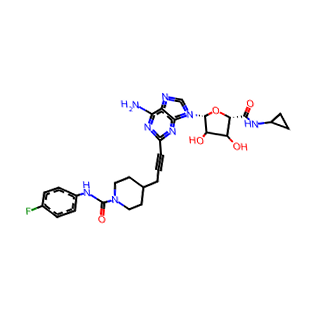 Nc1nc(C#CCC2CCN(C(=O)Nc3ccc(F)cc3)CC2)nc2c1ncn2[C@@H]1O[C@H](C(=O)NC2CC2)C(O)C1O